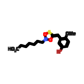 COc1ccc(Br)cc1C=C1ON(CCCCCCC(=O)O)OS1